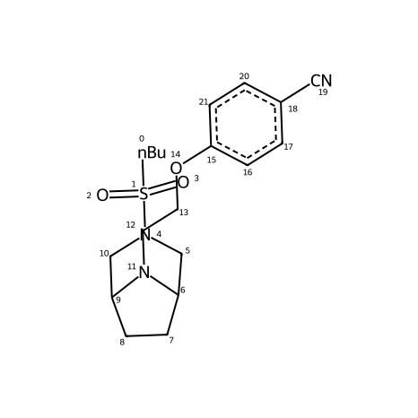 CCCCS(=O)(=O)N1CC2CCC(C1)N2CCOc1ccc(C#N)cc1